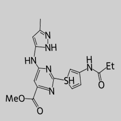 CCC(=O)NC1=C[SH](c2nc(Nc3cc(C)n[nH]3)cc(C(=O)OC)n2)C=C1